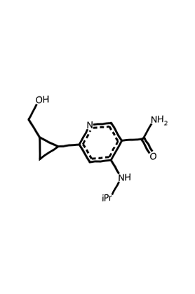 CC(C)Nc1cc(C2CC2CO)ncc1C(N)=O